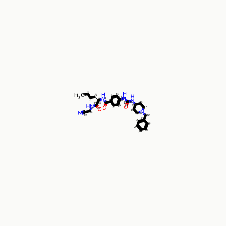 CCCC[C@H](NC(=O)c1ccc(NC(=O)NC2CCN(Cc3ccccc3)CC2)cc1)C(=O)NCC#N